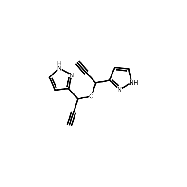 C#CC(OC(C#C)c1cc[nH]n1)c1cc[nH]n1